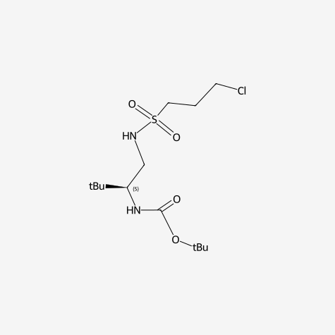 CC(C)(C)OC(=O)N[C@H](CNS(=O)(=O)CCCCl)C(C)(C)C